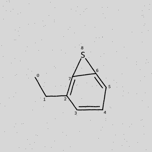 CCc1cccc2c1S2